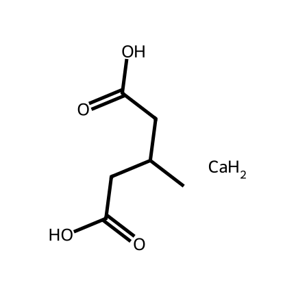 CC(CC(=O)O)CC(=O)O.[CaH2]